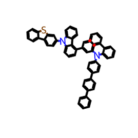 c1ccc(-c2ccc(-c3ccc(N(c4cccc(-c5cccc6c5c5ccccc5n6-c5ccc6c(c5)sc5ccccc56)c4)c4ccccc4-c4ccccc4)cc3)cc2)cc1